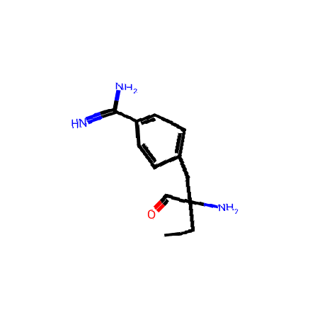 CCC(N)(C=O)Cc1ccc(C(=N)N)cc1